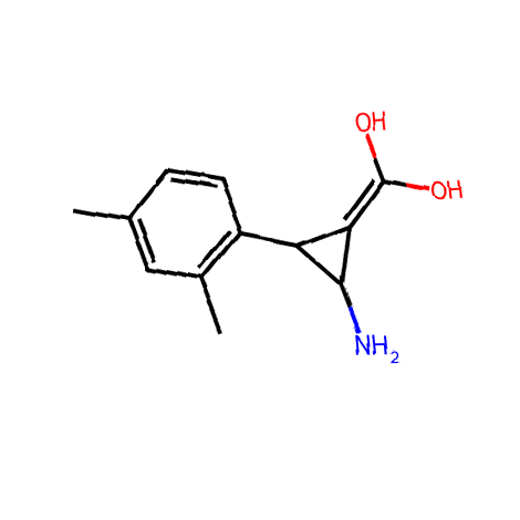 Cc1ccc(C2C(=C(O)O)C2N)c(C)c1